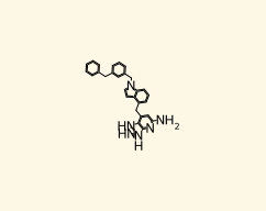 Nc1cc(Cc2cccc3c2ccn3Cc2cccc(Cc3ccccc3)c2)c2c(n1)NNN2